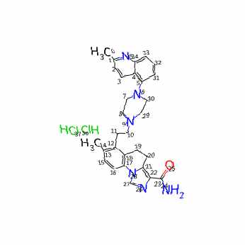 Cc1ccc2c(N3CCN(CCc4c(C)ccc5c4CCc4c(C(N)=O)ncn4-5)CC3)cccc2n1.Cl.Cl